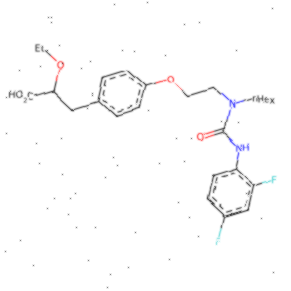 CCCCCCN(CCOc1ccc(CC(OCC)C(=O)O)cc1)C(=O)Nc1ccc(F)cc1F